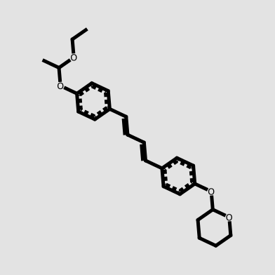 CCOC(C)Oc1ccc(C=CC=Cc2ccc(OC3CCCCO3)cc2)cc1